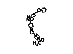 CC(=O)N1CCN(C2CCN(c3ccc(-c4nnc(CSCCOc5ccccc5)o4)cc3)C2)CC1